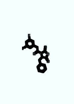 O=C1OC(=O)N(C(=O)Cc2cc(F)cc(F)c2)C1Cc1ccccc1